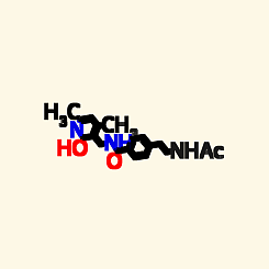 CC(=O)NCCc1ccc(C(=O)NCc2c(C)cc(C)nc2O)cc1